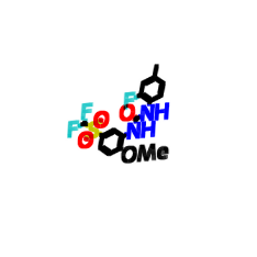 COc1ccc(S(=O)(=O)C(F)F)cc1NC(=O)Nc1ccc(C)cc1F